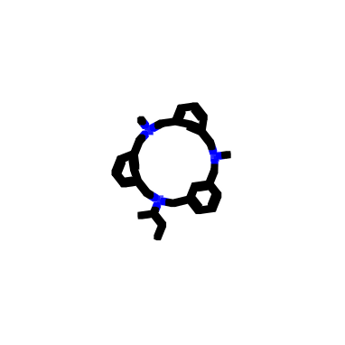 CCC(C)N1Cc2cccc(c2)CN(C)Cc2cccc(c2)CN(C)Cc2cccc(c2)C1